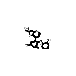 Cc1cc(Cl)cc(-c2ccnc3cc(CO)sc23)c1O[C@@H]1CCCC[C@@H]1N